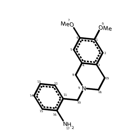 COc1cc2c(cc1OC)CN(Cc1ccccc1N)CC2